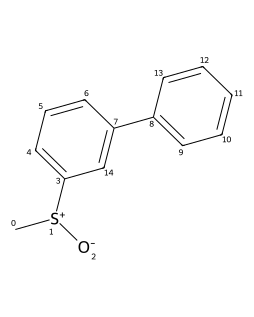 C[S+]([O-])c1cccc(-c2ccccc2)c1